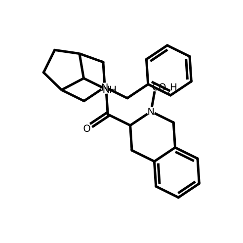 O=C(NC1C2CCC1CN(Cc1ccccc1)C2)C1Cc2ccccc2CN1C(=O)O